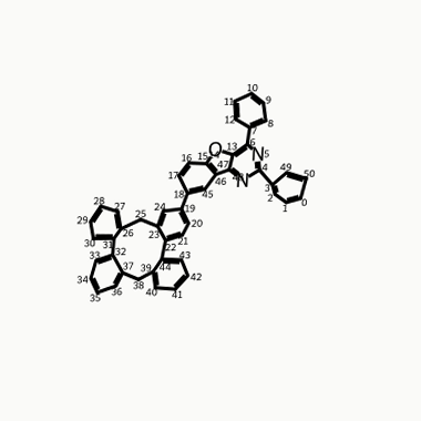 c1ccc(-c2nc(-c3ccccc3)c3oc4ccc(-c5ccc6c(c5)Cc5ccccc5-c5ccccc5Cc5ccccc5-6)cc4c3n2)cc1